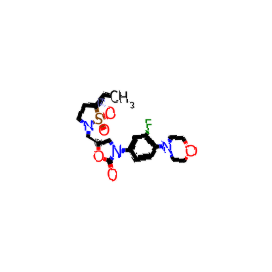 C/C=C1/CCN(C[C@H]2CN(c3ccc(N4CCOCC4)c(F)c3)C(=O)O2)S1(=O)=O